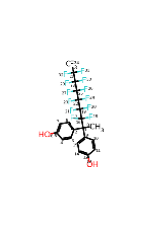 CC(c1ccc(O)cc1)(c1ccc(O)cc1)C(F)(F)C(F)(F)C(F)(F)C(F)(F)C(F)(F)C(F)(F)C(F)(F)F